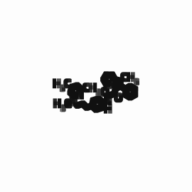 Cc1cc(C)nc(N(C)CCCc2ccc(NC(=O)C(=O)c3c(-c4ccccc4)c(C)c4ccccn34)cc2)c1